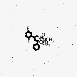 CN(C)C(=O)N1CC(c2cc(F)ccc2F)=C[C@@]1(C)c1ccccc1